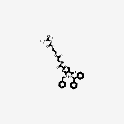 CC(C)OC(=O)OCCOC(=O)CNC(=O)c1ncc(C(=O)NC(c2ccccc2)c2ccccc2)c(OCc2ccccc2)n1